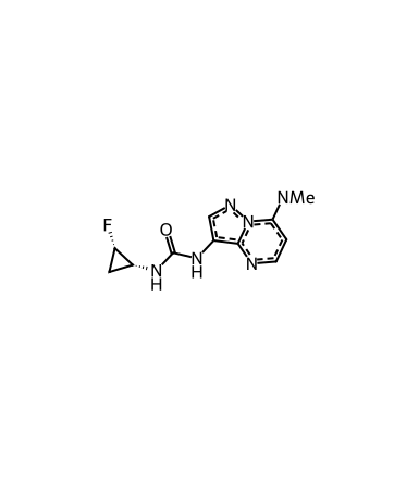 CNc1ccnc2c(NC(=O)N[C@@H]3C[C@@H]3F)cnn12